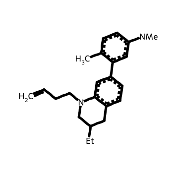 C=CCCN1CC(CC)Cc2ccc(-c3cc(NC)ccc3C)cc21